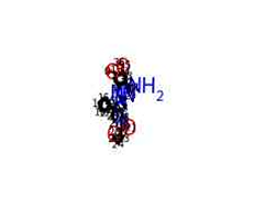 COc1cc2nc(N(C)CC3(c4ccccc4)CCN(C(=O)c4ccco4)CC3)nc(N)c2cc1OC